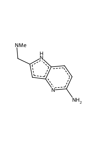 CNCc1cc2nc(N)ccc2[nH]1